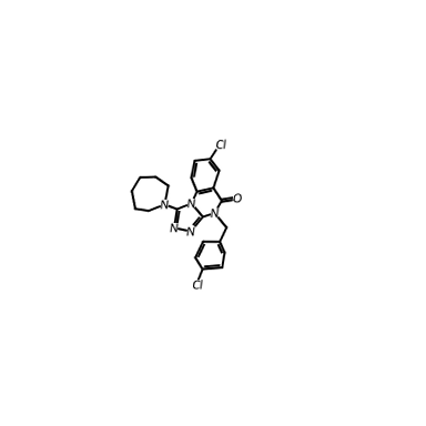 O=c1c2cc(Cl)ccc2n2c(N3CCCCCC3)nnc2n1Cc1ccc(Cl)cc1